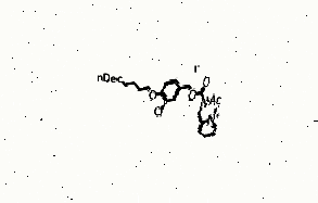 CCCCCCCCCCCCCCOc1ccc(COC(=O)N(Cc2cccc[n+]2C)C(C)=O)cc1Cl.[I-]